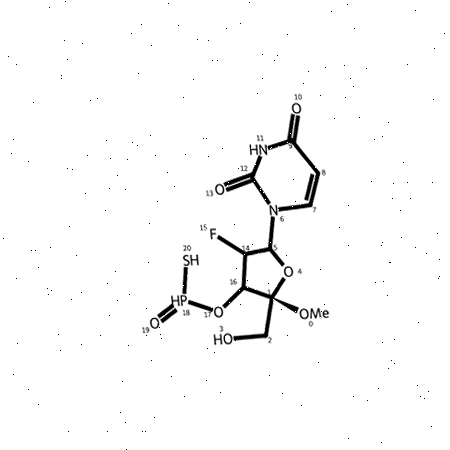 CO[C@]1(CO)OC(n2ccc(=O)[nH]c2=O)C(F)C1O[PH](=O)S